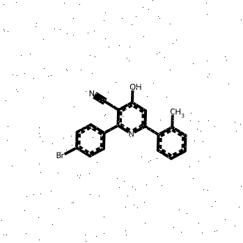 Cc1ccccc1-c1cc(O)c(C#N)c(-c2ccc(Br)cc2)n1